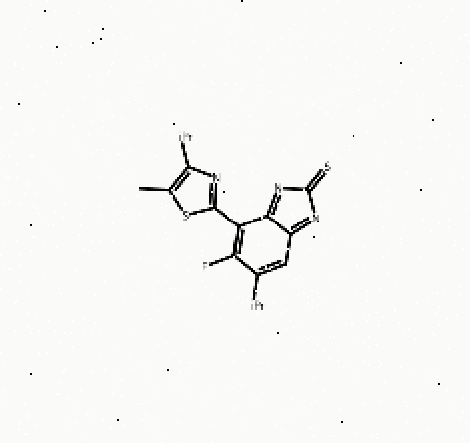 Cc1sc(-c2c(F)c(C(C)C)cc3c2=NC(=S)N=3)nc1C(C)C